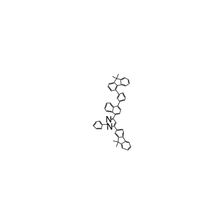 CC1(C)c2ccccc2-c2ccc(-c3cc(-c4ccc(-c5cccc(-c6cccc7c6-c6ccccc6C7(C)C)c5)c5ccccc45)nc(-c4ccccc4)n3)cc21